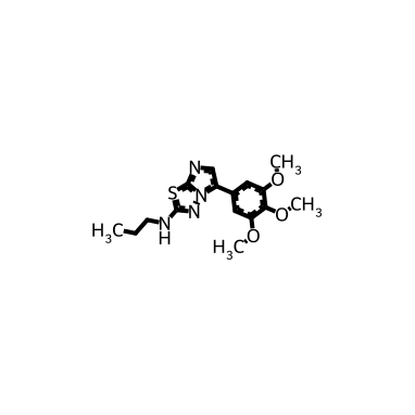 CCCNc1nn2c(-c3cc(OC)c(OC)c(OC)c3)cnc2s1